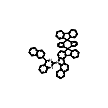 c1ccc2c(c1)-c1ccccc1C21c2ccccc2C2(c3ccccc3-c3c2ccc2c3c3ccc4ccccc4c3n2-c2nc(-c3ccc4ccccc4c3)c3ccccc3n2)c2ccccc21